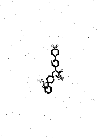 CC[C@]1(CN(C(N)=O)c2ccc(N3CCS(=O)(=O)CC3)nc2)CC[C@](c2ccccc2)(N(C)C)CC1